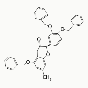 Cc1cc(OCc2ccccc2)c2c(c1)O[C@H](c1ccc(OCc3ccccc3)c(OCc3ccccc3)c1)C(=O)C2